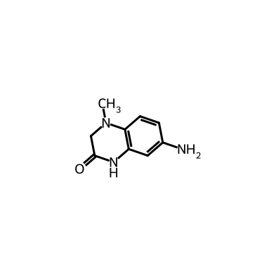 CN1CC(=O)Nc2cc(N)ccc21